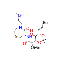 CO[C@@H](C(=O)NC1CSCCN(CCN(C)C)C1=O)[C@@H]1OC(C)(C)O[C@H](C=CC(C)(C)C)[C@@H]1O